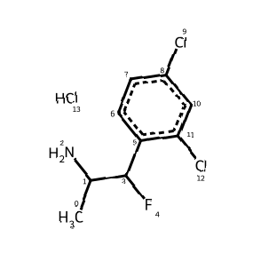 CC(N)C(F)c1ccc(Cl)cc1Cl.Cl